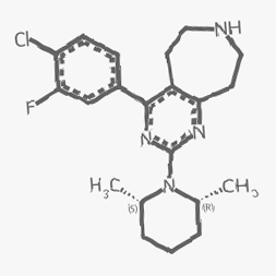 C[C@@H]1CCC[C@H](C)N1c1nc2c(c(-c3ccc(Cl)c(F)c3)n1)CCNCC2